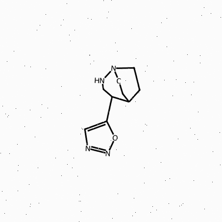 [c]1nnoc1C1CNN2CCC1CC2